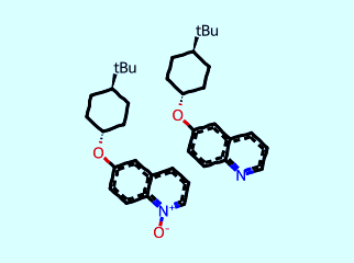 CC(C)(C)[C@H]1CC[C@H](Oc2ccc3c(ccc[n+]3[O-])c2)CC1.CC(C)(C)[C@H]1CC[C@H](Oc2ccc3ncccc3c2)CC1